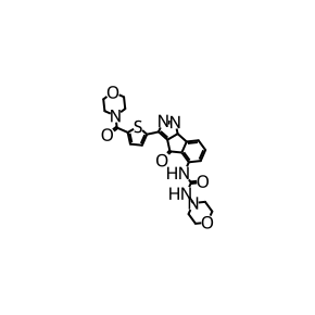 O=C(Nc1cccc2c1C(=O)C1=C(c3ccc(C(=O)N4CCOCC4)s3)N=NC12)NN1CCOCC1